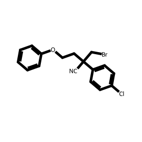 N#CC(CBr)(CCOc1ccccc1)c1ccc(Cl)cc1